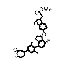 COC(=O)CC1COc2cc(O[C@@H]3CCc4c(-c5c(C)cc(C6=CC(=O)OCC6)cc5C)ccc(F)c43)ccc21